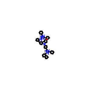 c1ccc(-c2nc(-c3ccc(-n4c5ccccc5c5c4ccc4c6ccccc6n(-c6nc(-c7ccccc7)nc(-c7ccccc7)n6)c45)cc3)nc(-c3cccc4ccccc34)n2)cc1